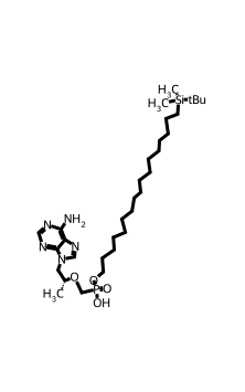 C[C@H](Cn1cnc2c(N)ncnc21)OCP(=O)(O)OCCCCCCCCCCCCCCCCC[Si](C)(C)C(C)(C)C